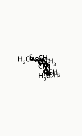 Cc1cc(COc2cc(C)n(-c3cc(-c4ccnc(C(C)(C)O)n4)ncc3C)c(=O)c2C)cs1